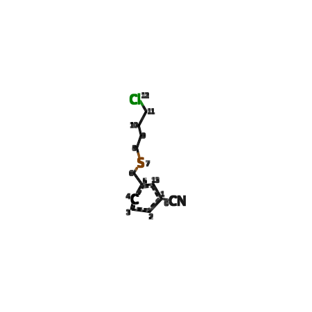 N#Cc1cccc(CSCCCCCl)c1